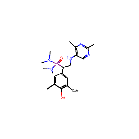 COc1cc(C(CNc2cnc(C)nc2C)P(=O)(N(C)C)N(C)C)cc(C)c1O